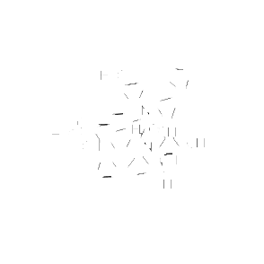 Cc1ccc(N(c2cc(-c3ccccc3)ccc2C(C)C)c2cc(N(c3ccc(C)cc3)c3cc(-c4ccccc4)ccc3C(C)C)c3ccc4cc(C(C)(C)C)cc5ccc2c3c54)cc1